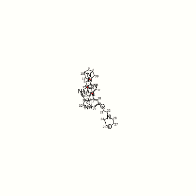 Cc1ccc(CCN2C3CC2CN(c2ccc(-c4cc(OCCN5CCOCC5)cn5ncc(C#N)c45)cn2)C3)cn1